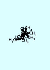 CCCCNCCC(C)Cc1c(C)cc(C)c(C(N(CCCC)CCCC)N(CCCC)CCCC)c1C